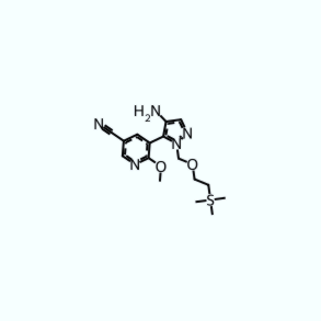 COc1ncc(C#N)cc1-c1c(N)cnn1COCCS(C)(C)C